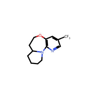 FC(F)(F)c1cnc2c(c1)OCCC1CCCCN21